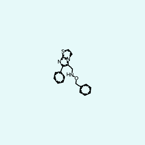 c1ccc(CONCc2c(-c3ccccc3)nc3sccn23)cc1